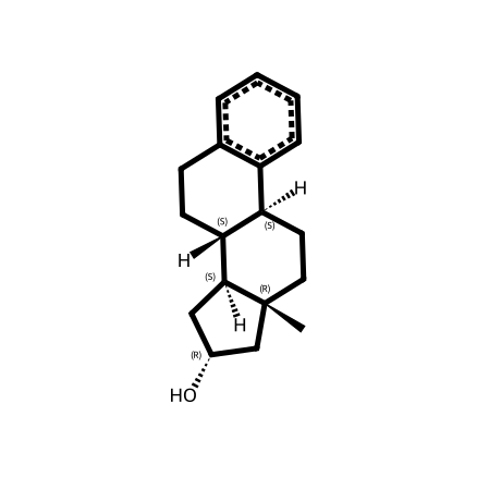 C[C@]12CC[C@@H]3c4ccccc4CC[C@H]3[C@@H]1C[C@@H](O)C2